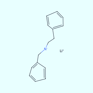 [Li+].c1ccc(CC[N-]Cc2ccccc2)cc1